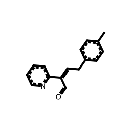 Cc1ccc(CC=C(C=O)c2ccccn2)cc1